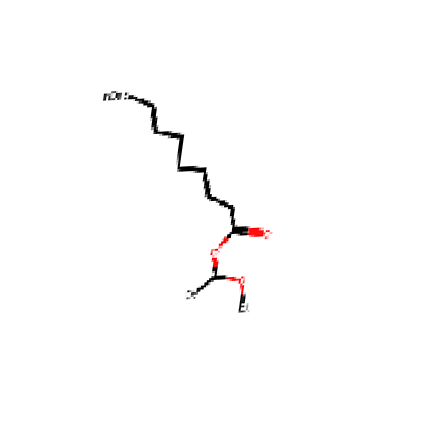 CCCCCCCCCCCCCCCCCC(=O)OC(CC)OCC